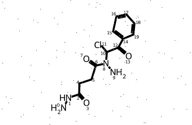 NNC(=O)CCC(=O)N(N)C(Cl)C(=O)c1ccccc1